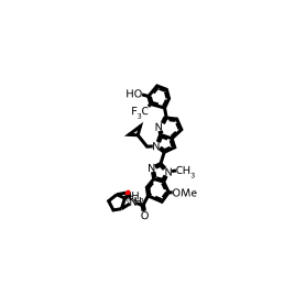 COc1cc(C(=O)N2CC3CCC2[C@@H]3N)cc2nc(-c3cc4ccc(-c5cccc(O)c5C(F)(F)F)nc4n3CC3CC3)n(C)c12